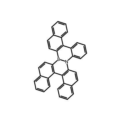 c1ccc2c(c1)-c1c(ccc3ccccc13)B1c3ccc4ccccc4c3-c3c(ccc4ccccc34)N12